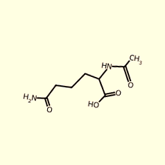 CC(=O)NC(CCCC(N)=O)C(=O)O